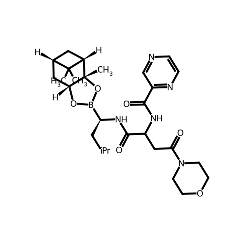 CC(C)C[C@H](NC(=O)C(CC(=O)N1CCOCC1)NC(=O)c1cnccn1)B1O[C@@H]2C[C@@H]3C[C@@H](C3(C)C)[C@]2(C)O1